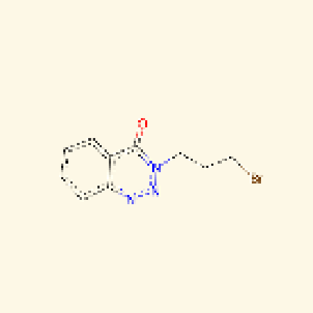 O=c1c2ccccc2nnn1CCCBr